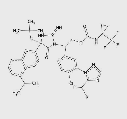 CC(C)c1nccc2cc([C@@]3(CC(C)(C)C)NC(=N)N([C@H](COC(=O)NC4(C(F)(F)F)CC4)c4ccc(Cl)c(-n5ncnc5C(F)F)c4)C3=O)ccc12